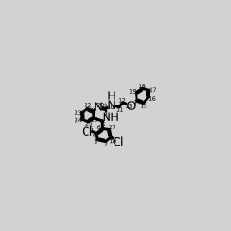 Clc1ccc(Cl)c(C2NC(NCCOc3ccccc3)=Nc3ccccc32)c1